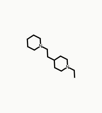 CCN1CCC(CCN2CCCCC2)CC1